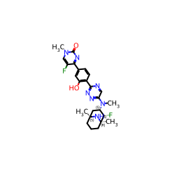 CN(c1cnc(-c2ccc(-c3nc(=O)n(C)cc3F)cc2O)nn1)[C@H]1C[C@]2(C)CCC[C@@](C)(N2)[C@H]1F